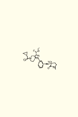 CCOC(=O)c1nn(-c2cccc(C#C[C@]3(O)CCN(C)C3=O)c2)c2c1CN(C(=O)C1CC1)CC2